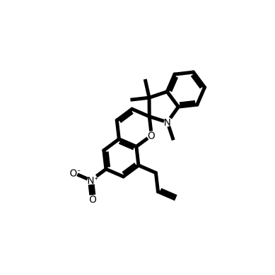 C=CCc1cc([N+](=O)[O-])cc2c1OC1(C=C2)N(C)c2ccccc2C1(C)C